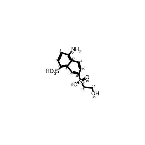 Nc1ccc(S(=O)(=O)O)c2cc(S(=O)(=O)CCO)ccc12